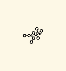 C1=C(c2ccccc2)N2NC(c3ccccc3)C(c3ccccc3)=C2c2cccc(N(c3ccc(-c4ccccc4)cc3)c3cccc(-c4ccccc4)c3)c21